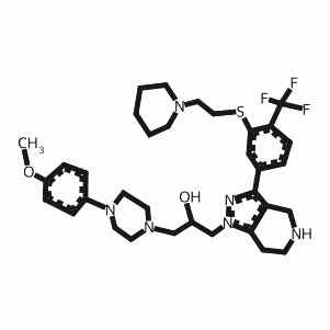 COc1ccc(N2CCN(CC(O)Cn3nc(-c4ccc(C(F)(F)F)c(SCCN5CCCCC5)c4)c4c3CCNC4)CC2)cc1